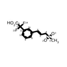 CS(=O)(=O)CC=Cc1cccc(C(F)(F)C(=O)O)c1